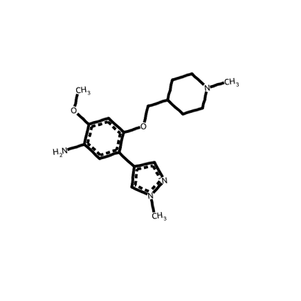 COc1cc(OCC2CCN(C)CC2)c(-c2cnn(C)c2)cc1N